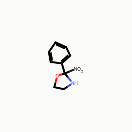 O=[N+]([O-])C1(c2ccccc2)NCCO1